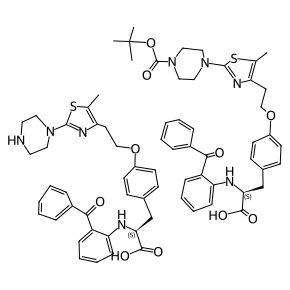 Cc1sc(N2CCN(C(=O)OC(C)(C)C)CC2)nc1CCOc1ccc(C[C@H](Nc2ccccc2C(=O)c2ccccc2)C(=O)O)cc1.Cc1sc(N2CCNCC2)nc1CCOc1ccc(C[C@H](Nc2ccccc2C(=O)c2ccccc2)C(=O)O)cc1